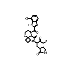 O=C1NCCC1CC(NC(=O)C1N(C(=O)c2cc3cccc(Cl)c3[nH]2)CCOC12CCC2)C(=O)CF